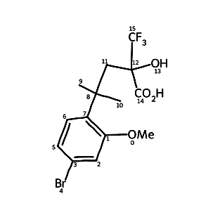 COc1cc(Br)ccc1C(C)(C)CC(O)(C(=O)O)C(F)(F)F